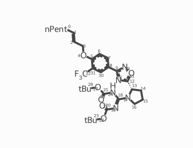 CCCCC/C=C/COc1ccc(-c2noc([C@@H]3CCCN3/C(=N/C(=O)OC(C)(C)C)NC(=O)OC(C)(C)C)n2)cc1C(F)(F)F